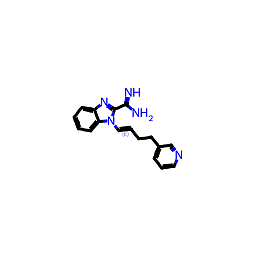 N=C(N)c1nc2ccccc2n1/C=C/CCc1cccnc1